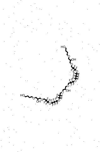 OCCCCOCC(O)COCC(F)(F)C(F)(F)OC(F)(F)C(F)(F)C(F)(F)OC(F)(F)C(F)(F)COCC(O)COCC(F)(F)C(F)(F)OC(F)(F)C(F)(F)C(F)(F)OC(F)(F)C(F)(F)COCC(O)COCCCCO